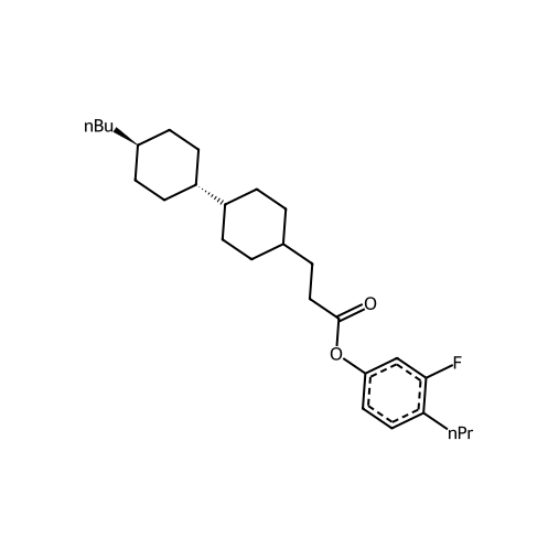 CCCC[C@H]1CC[C@H](C2CCC(CCC(=O)Oc3ccc(CCC)c(F)c3)CC2)CC1